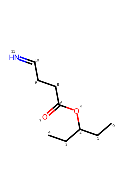 CCC(CC)OC(=O)CCC=N